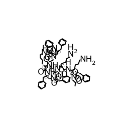 CC(=O)CN(C[C@H](CCCCN)NC(=O)[C@H](CCCCN)NC(=O)CN(C[C@H](Cc1ccccc1)NC(=O)[C@H](CCCCN)NC(=O)CN(C[C@@H](N)Cc1ccccc1)S(=O)(=O)Cc1ccccc1)S(=O)(=O)Cc1ccccc1)S(=O)(=O)Cc1ccccc1